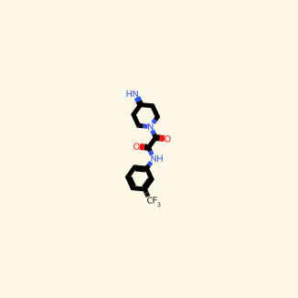 N=C1CCN(C(=O)C(=O)Nc2cccc(C(F)(F)F)c2)CC1